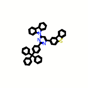 c1ccc(C(c2ccccc2)(c2ccccc2)c2ccc(-c3nc(-c4ccc5sc6ccccc6c5c4)cc(-n4c5ccccc5c5ccccc54)n3)cc2)cc1